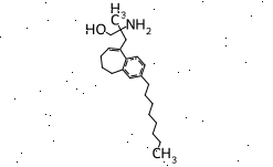 CCCCCCCCc1ccc2c(c1)CCCC=C2CC(C)(N)CO